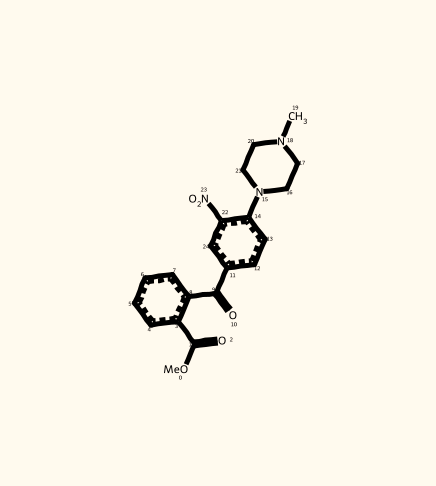 COC(=O)c1ccccc1C(=O)c1ccc(N2CCN(C)CC2)c([N+](=O)[O-])c1